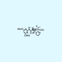 COc1cc(OC)nc(NC(=O)NS(=O)(=O)c2cccnc2C(OC)(OC(C)=O)C(C)F)n1